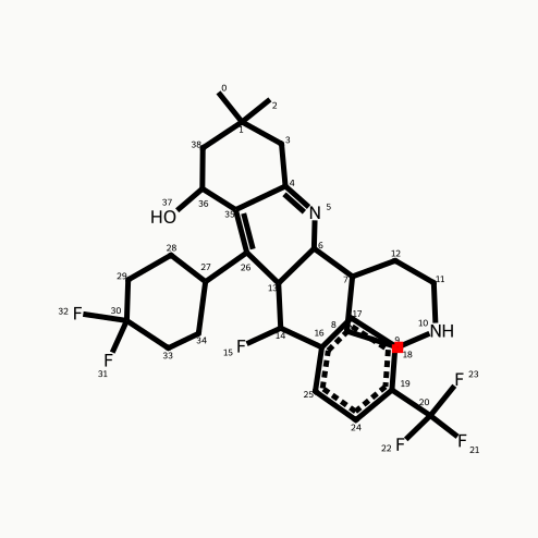 CC1(C)CC2=NC(C3CCNCC3)C(C(F)c3ccc(C(F)(F)F)cc3)C(C3CCC(F)(F)CC3)=C2C(O)C1